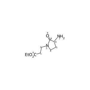 CCOC(=O)CCN1CCC(N)C1=O